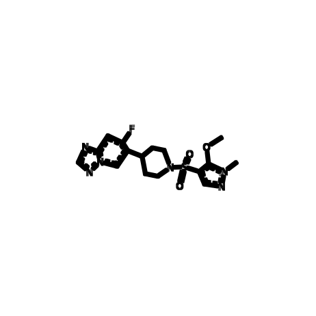 COc1c(S(=O)(=O)N2CCC(c3cn4ncnc4cc3F)CC2)cnn1C